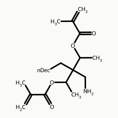 C=C(C)C(=O)OC(C)C(CN)(CCCCCCCCCCC)C(C)OC(=O)C(=C)C